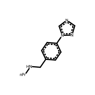 CCCNCc1ccc(-n2cncn2)cc1